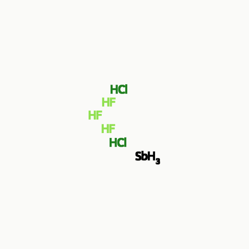 Cl.Cl.F.F.F.[SbH3]